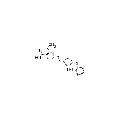 CCc1cc(C=Cc2ccc3c(c2)Nc2nccnc2S3)ccc1C(=O)O